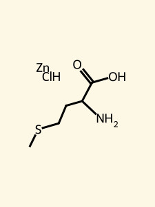 CSCCC(N)C(=O)O.Cl.[Zn]